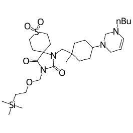 CCCCN1C=CCN(C2CCC(C)(CN3C(=O)N(COCC[Si](C)(C)C)C(=O)C34CCS(=O)(=O)CC4)CC2)C1